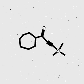 C[Si](C)(C)C#CC(=O)C1CCCCCC1